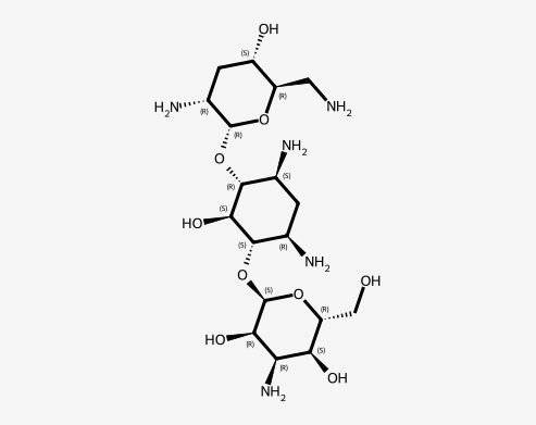 NC[C@H]1O[C@H](O[C@H]2[C@H](O)[C@@H](O[C@H]3O[C@H](CO)[C@@H](O)[C@@H](N)[C@H]3O)[C@H](N)C[C@@H]2N)[C@H](N)C[C@@H]1O